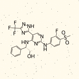 CS(=O)(=O)c1ccc(Nc2ncc(-c3nc(C(F)(F)F)n[nH]3)c(N[C@H](CO)c3ccccc3)n2)cc1F